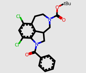 CC(C)(C)OC(=O)N1CCc2c(Cl)cc(Cl)c3c2C(C1)CN3C(=O)c1ccccc1